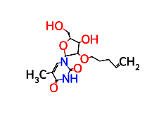 C=CCCCOC1C(O)[C@H](CO)O[C@@H]1n1cc(C)c(=O)[nH]c1=O